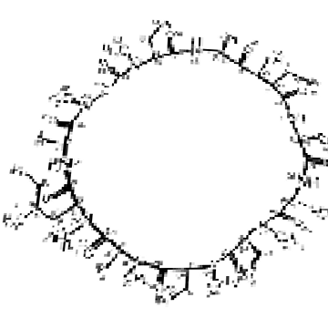 CC[C@@H]1NC(=O)[C@H]([C@H](O)[C@H](C)CC(C)C)N(C)C(=O)[C@H](C(C)C)N(C)C(=O)[C@H](CC(C)C)N(C)C(=O)[C@H](CC(C)C)N(C)C(=O)[C@@H](C)NC(=O)[C@H](C)NC(=O)[C@H](CC(C)C)N(C)C(=O)[C@H](C(C)C)NC(=O)[C@H](CC(C)C)N(C)C(=O)CN(C)C1=O